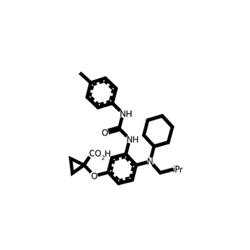 Cc1ccc(NC(=O)Nc2cc(OC3(C(=O)O)CC3)ccc2N(CC(C)C)C2CCCCC2)cc1